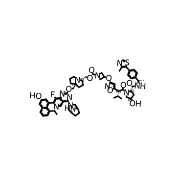 CCc1cccc2cc(O)cc(-c3ncc4c(N5CC6CCC(C5)N6)nc(OC[C@@]56CCCN5[C@H](COC(=O)N5CC(Oc7cc([C@H](C(=O)N8C[C@H](O)C[C@H]8C(=O)N[C@@H](C)c8ccc(-c9scnc9C)cc8)C(C)C)on7)C5)CC6)nc4c3F)c12